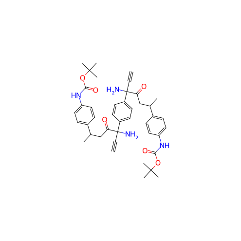 C#CC(N)(C(=O)CC(C)c1ccc(NC(=O)OC(C)(C)C)cc1)c1ccc(C(N)(C#C)C(=O)CC(C)c2ccc(NC(=O)OC(C)(C)C)cc2)cc1